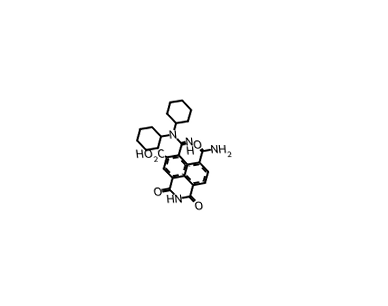 N=C(c1c(C(=O)O)cc2c3c(ccc(C(N)=O)c13)C(=O)NC2=O)N(C1CCCCC1)C1CCCCC1